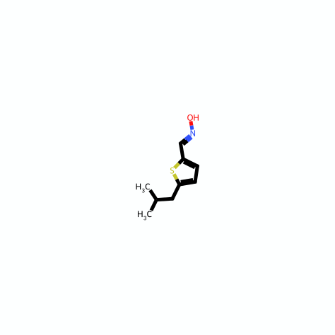 CC(C)Cc1ccc(C=NO)s1